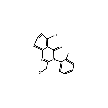 O=c1c2c(Cl)cccc2nc(CCl)n1-c1ccccc1Cl